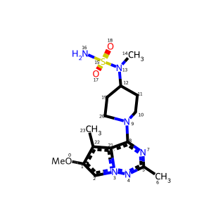 COc1cn2nc(C)nc(N3CCC(N(C)S(N)(=O)=O)CC3)c2c1C